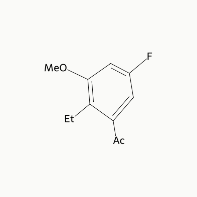 CCc1c(OC)cc(F)cc1C(C)=O